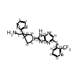 NCC1(c2ncccn2)C2CCN(c3nc4nc(Sc5cccnc5C(F)(F)F)cnc4[nH]3)CC21